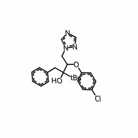 CC(C)(C)C(O)(Cc1ccccc1)C(Cn1cncn1)Oc1ccc(Cl)cc1